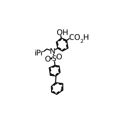 CC(C)CN(c1ccc(C(=O)O)c(O)c1)S(=O)(=O)c1ccc(-c2ccccc2)cc1